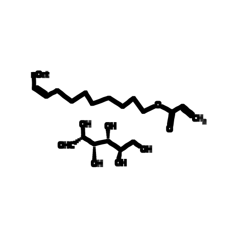 C=CC(=O)OCCCCCCCC/C=C\CCCCCCCC.O=C[C@H](O)[C@@H](O)[C@H](O)[C@H](O)CO